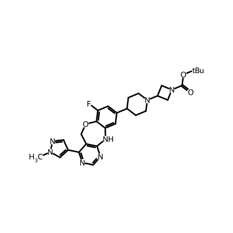 Cn1cc(-c2ncnc3c2COc2c(F)cc(C4CCN(C5CN(C(=O)OC(C)(C)C)C5)CC4)cc2N3)cn1